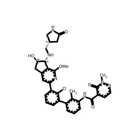 COc1nc(-c2cccc(-c3cccc(NC(=O)c4ccnn(C)c4=O)c3C)c2Cl)cc2c1[C@@H](NC[C@@H]1CNC(=O)C1)[C@H](O)C2